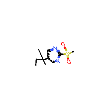 CCC(C)(C)c1cnc(S(C)(=O)=O)nc1